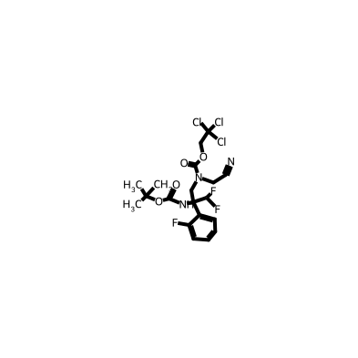 CC(C)(C)OC(=O)NC(CN(CC#N)C(=O)OCC(Cl)(Cl)Cl)(c1ccccc1F)C(F)F